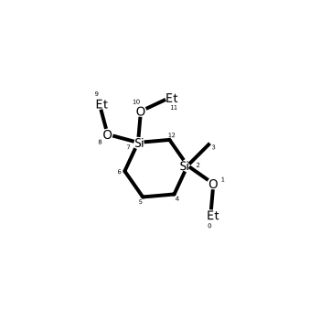 CCO[Si]1(C)CCC[Si](OCC)(OCC)C1